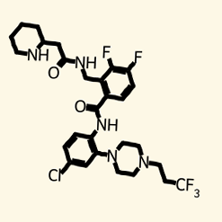 O=C(CC1CCCCN1)NCc1c(C(=O)Nc2ccc(Cl)cc2N2CCN(CCC(F)(F)F)CC2)ccc(F)c1F